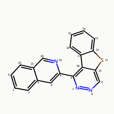 c1ccc2cc(-c3nncc4sc5ccccc5c34)ncc2c1